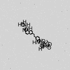 COC(=O)N[C@H](C(=O)N1[C@@H]2C[C@@H]2C[C@H]1c1nc2ccc(CCc3ccc4c(ccc5nc([C@@H]6C[C@H]7C[C@H]7N6)[nH]c54)c3)cc2[nH]1)C(C)C